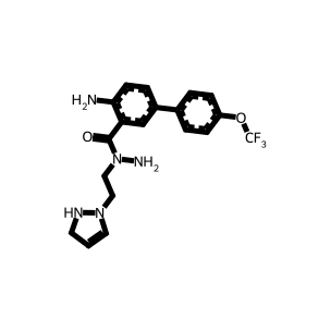 Nc1ccc(-c2ccc(OC(F)(F)F)cc2)cc1C(=O)N(N)CCN1C=CCN1